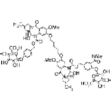 C=C1C[C@H]2C(O)N(C(=O)OCc3ccc(O[C@@H]4O[C@H](C(=O)O)[C@@H](O)[C@H](O)[C@H]4O)cc3)c3cc(OCCCCCOc4cc5c(cc4OC)C(=O)N4CC(=C)C[C@H]4C(O)N5C(=O)OCc4ccc(O[C@@H]5O[C@H](C(=O)O)[C@@H](O)[C@H](O)[C@H]5O)c(C(=O)NC)c4)c(OC)cc3C(=O)N2C1